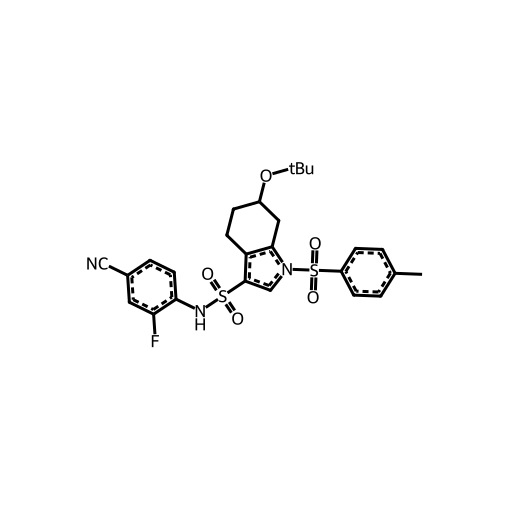 Cc1ccc(S(=O)(=O)n2cc(S(=O)(=O)Nc3ccc(C#N)cc3F)c3c2CC(OC(C)(C)C)CC3)cc1